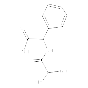 CCCC(CCC)C(=O)NC(C(N)=O)c1ccccc1